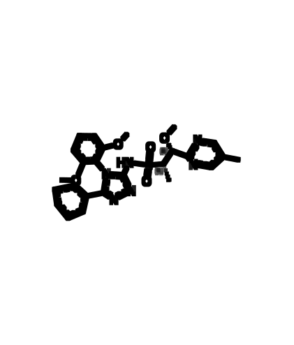 COc1cccc(OC)c1-n1c(NS(=O)(=O)[C@@H](C)[C@H](OC)c2ncc(C)cn2)nnc1-c1ccccc1